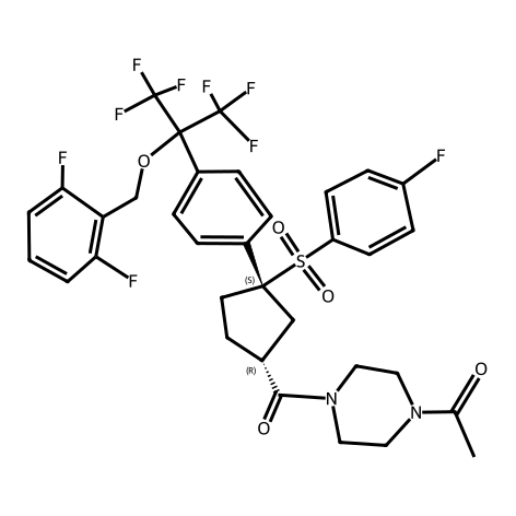 CC(=O)N1CCN(C(=O)[C@@H]2CC[C@](c3ccc(C(OCc4c(F)cccc4F)(C(F)(F)F)C(F)(F)F)cc3)(S(=O)(=O)c3ccc(F)cc3)C2)CC1